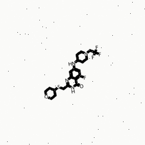 O=c1[nH]c(CSC2CCOCC2)nc2cc(NC3CCN(CC(F)(F)F)CC3)cc(F)c12